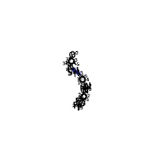 COc1cc(C)c(N2CS/C2=N\N=C\c2ccc(-c3ncn(-c4ccc(OC(F)(F)F)cc4)n3)cc2)c(C)c1